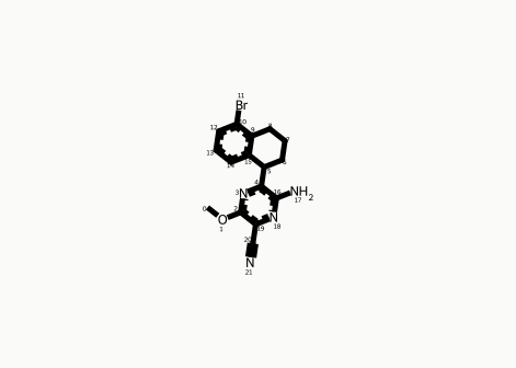 COc1nc(C2CCCc3c(Br)cccc32)c(N)nc1C#N